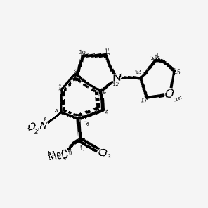 COC(=O)c1cc2c(cc1[N+](=O)[O-])CCN2C1CCOC1